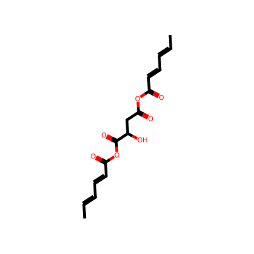 CC=CC=CC(=O)OC(=O)CC(O)C(=O)OC(=O)C=CC=CC